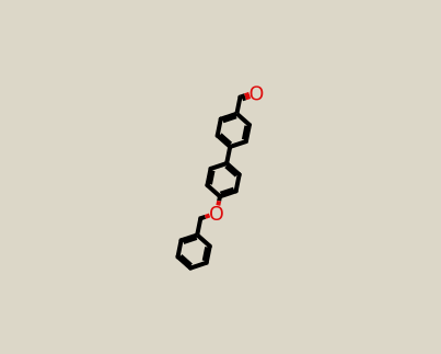 O=Cc1ccc(-c2ccc(OCc3ccccc3)cc2)cc1